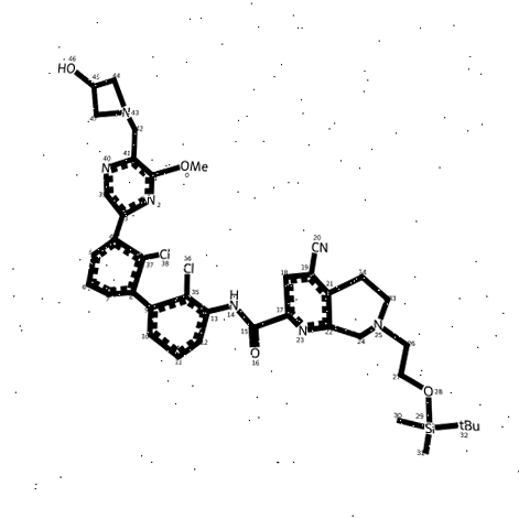 COc1nc(-c2cccc(-c3cccc(NC(=O)c4cc(C#N)c5c(n4)CN(CCO[Si](C)(C)C(C)(C)C)CC5)c3Cl)c2Cl)cnc1CN1CC(O)C1